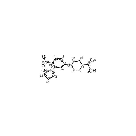 O=C(O)C1CCN(c2ccc([N+](=O)[O-])c(-n3cccn3)c2)CC1